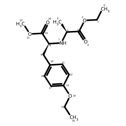 CCOC(=O)[C@H](C)N[C@@H](Cc1ccc(OCC)cc1)C(=O)OC